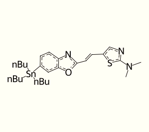 CCC[CH2][Sn]([CH2]CCC)([CH2]CCC)[c]1ccc2nc(/C=C/c3cnc(N(C)C)s3)oc2c1